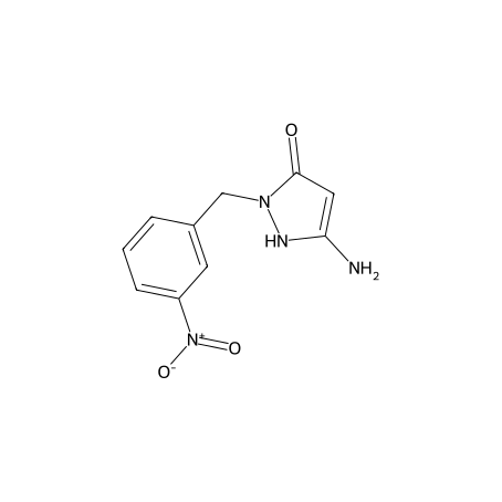 Nc1cc(=O)n(Cc2cccc([N+](=O)[O-])c2)[nH]1